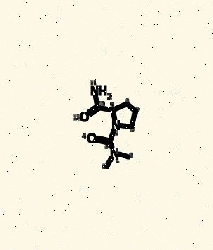 CN(C)C(=O)N1CCCC1C(N)=O